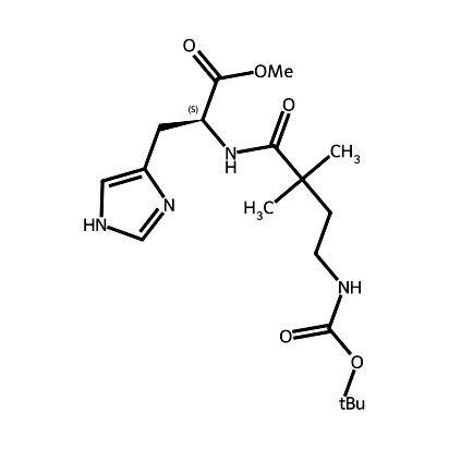 COC(=O)[C@H](Cc1c[nH]cn1)NC(=O)C(C)(C)CCNC(=O)OC(C)(C)C